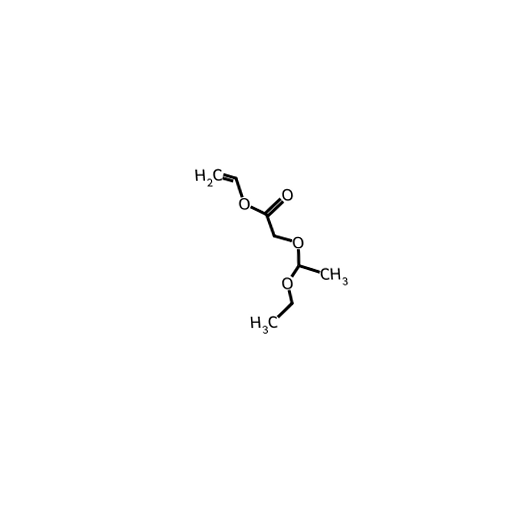 C=COC(=O)COC(C)OCC